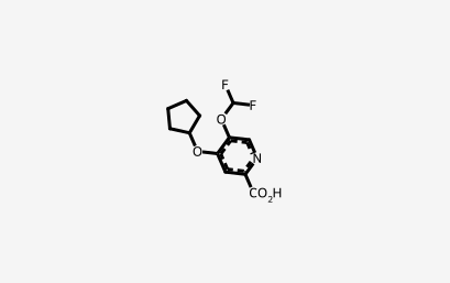 O=C(O)c1cc(OC2CCCC2)c(OC(F)F)cn1